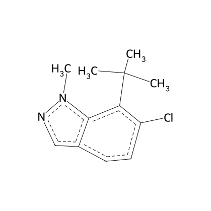 Cn1ncc2ccc(Cl)c(C(C)(C)C)c21